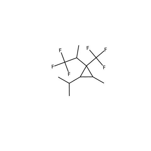 CC(C)C1C(C)C1(C(C)C(F)(F)F)C(F)(F)F